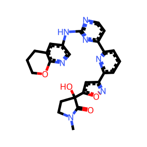 CN1CCC(O)(c2cc(-c3cccc(-c4ccnc(Nc5cnc6c(c5)CCCO6)n4)n3)no2)C1=O